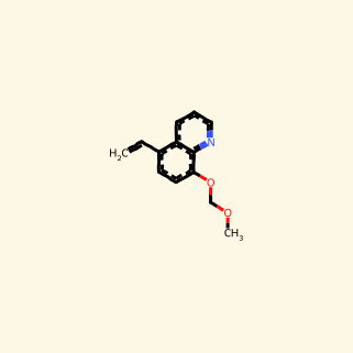 C=Cc1ccc(OCOC)c2ncccc12